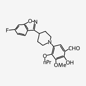 CCCOc1c(N2CCC(c3noc4cc(F)ccc34)CC2)cc(C=O)c(O)c1OC